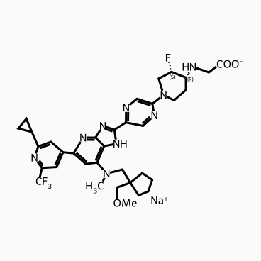 COCC1(CN(C)c2cc(-c3cc(C4CC4)nc(C(F)(F)F)c3)nc3nc(-c4cnc(N5CC[C@@H](NCC(=O)[O-])[C@@H](F)C5)cn4)[nH]c23)CCCC1.[Na+]